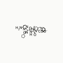 Nc1ccnc(C(=NOC2CCCC2)C(=O)NC2C(=O)N3C(C(=O)[O-])=C(C[n+]4ccccc4)CS[C@@H]23)n1